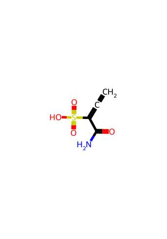 C=C=C(C(N)=O)S(=O)(=O)O